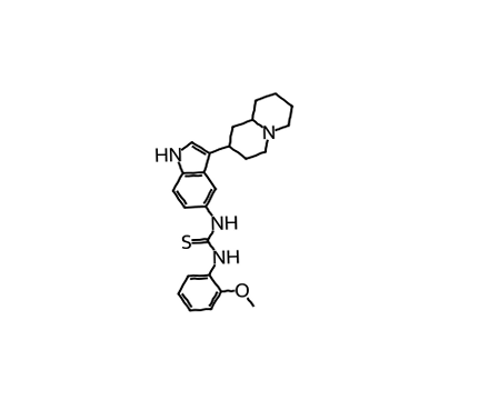 COc1ccccc1NC(=S)Nc1ccc2[nH]cc(C3CCN4CCCCC4C3)c2c1